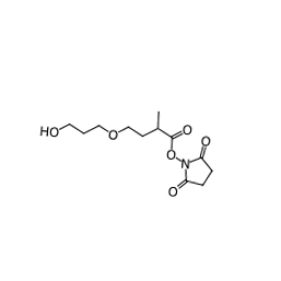 CC(CCOCCCO)C(=O)ON1C(=O)CCC1=O